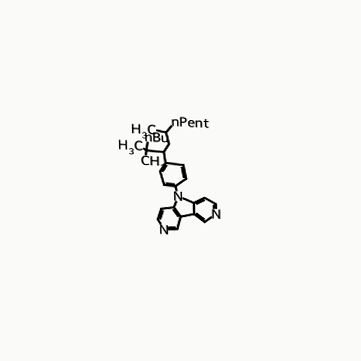 CCCCCC(C)CC(c1ccc(-n2c3ccncc3c3cnccc32)cc1)C(C)(C)CCCC